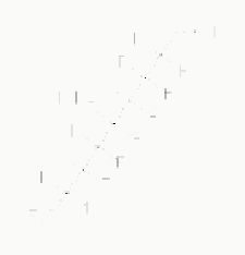 Cl.O=S(=O)(O)C(F)(F)C(F)(F)C(F)(F)C(F)(F)C(F)(F)C(F)(F)C(F)(F)C(F)(F)F